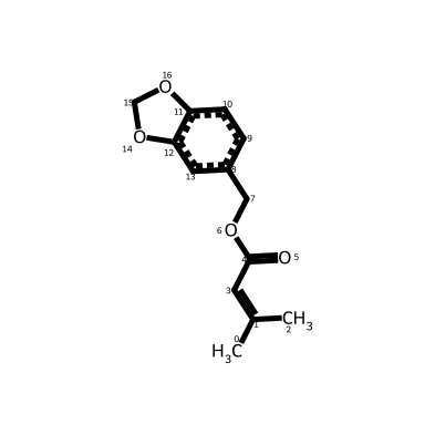 CC(C)=CC(=O)OCc1ccc2c(c1)OCO2